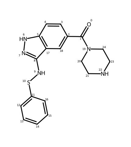 O=C(c1ccc2[nH]nc(NSc3ccccc3)c2c1)N1CCNCC1